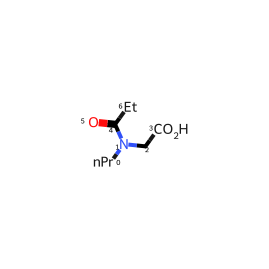 CCCN(CC(=O)O)C(=O)CC